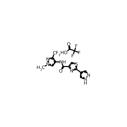 Cn1cc(NC(=O)c2csc(-c3cn[nH]c3)n2)c(C(F)(F)F)n1.O=C(O)C(F)(F)F